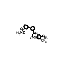 CCOc1cc2c(cc1C(F)(F)F)NC(=O)CC(c1cccc(-c3cccc(S(N)(=O)=O)c3)c1)=N2